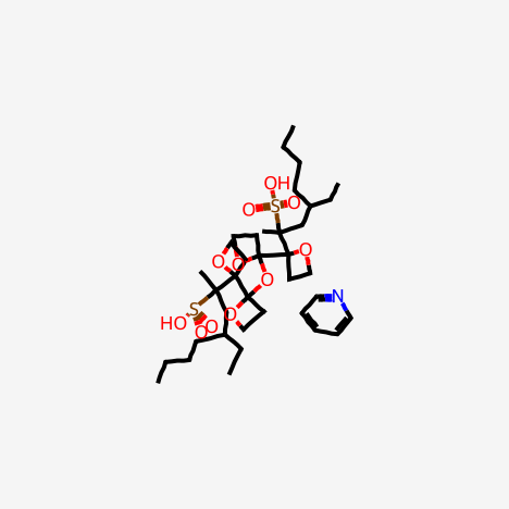 CCCCC(CC)CC(C)(C1(C2(OC3(C4(C(C)(CC(CC)CCCC)S(=O)(=O)O)CCO4)CCO3)CCO2)CCO1)S(=O)(=O)O.c1ccncc1